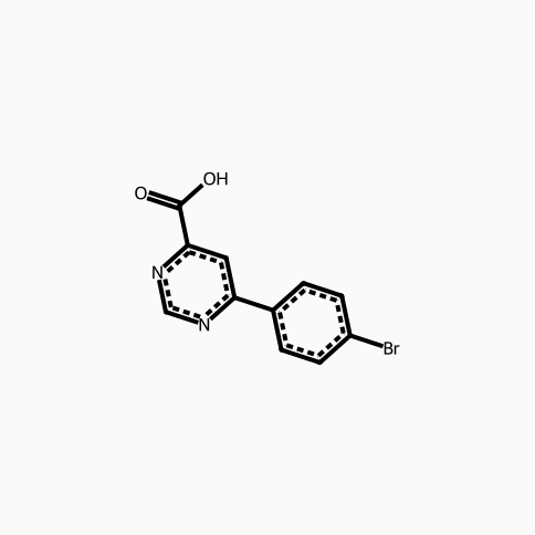 O=C(O)c1cc(-c2ccc(Br)cc2)ncn1